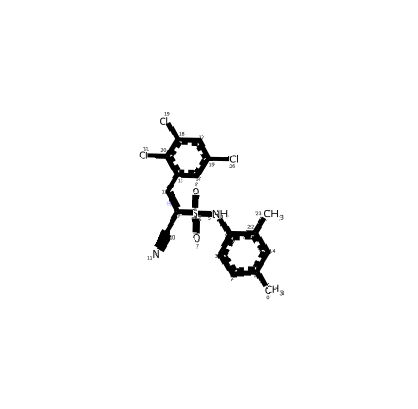 Cc1ccc(NS(=O)(=O)/C(C#N)=C\c2cc(Cl)cc(Cl)c2Cl)c(C)c1